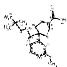 CSc1nccc(C2(C(=O)OCC(C)(C)C)CCN(C(=O)O)CC2)n1